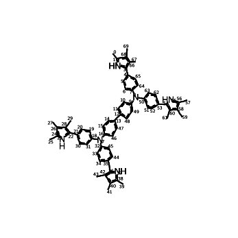 Cc1[nH]c(-c2ccc(N(c3ccc(-c4ccc(N(c5ccc(-c6[nH]c(C)c(C)c6C)cc5)c5ccc(-c6[nH]c(C)c(C)c6C)cc5)cc4)cc3)c3ccc(-c4[nH]c(C)c(C)c4C)cc3)cc2)c(C)c1C